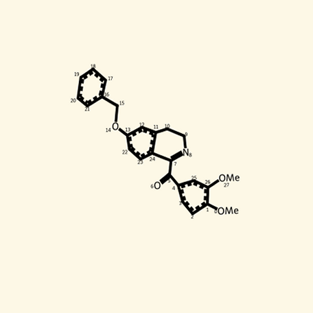 COc1ccc(C(=O)C2=NCCc3cc(OCc4ccccc4)ccc32)cc1OC